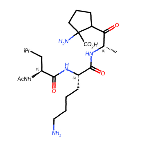 CC(=O)N[C@@H](CC(C)C)C(=O)N[C@@H](CCCCN)C(=O)N[C@@H](C)C(=O)C1CCCC1(N)C(=O)O